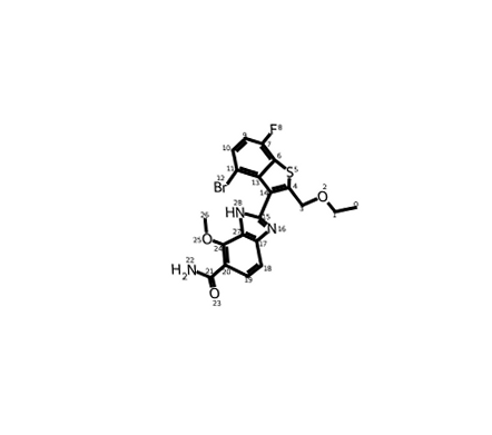 CCOCc1sc2c(F)ccc(Br)c2c1-c1nc2ccc(C(N)=O)c(OC)c2[nH]1